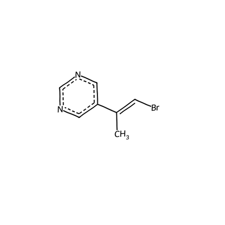 CC(=CBr)c1cncnc1